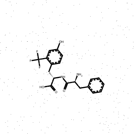 N[C@@H](Cc1ccccc1)C(=O)N[C@@H](Cc1ccc(O)cc1C(F)(F)F)C(=O)O